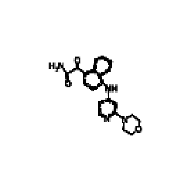 NC(=O)C(=O)c1ccc(Nc2ccnc(N3CCOCC3)c2)c2ccccc12